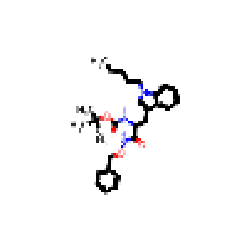 CCCCCn1cc(CC(NC(=O)OC(C)(C)C)C(=O)NOCc2ccccc2)c2ccccc21